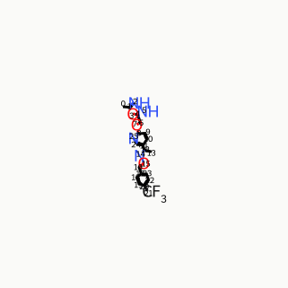 CC(=N)OC(=N)COc1ccc(/C(C)=N/OCc2ccc(C(F)(F)F)cc2)cn1